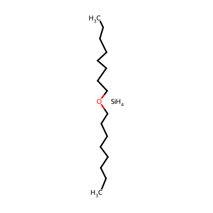 CCCCCCCCOCCCCCCCC.[SiH4]